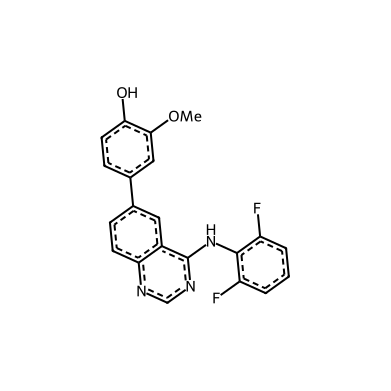 COc1cc(-c2ccc3ncnc(Nc4c(F)cccc4F)c3c2)ccc1O